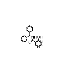 O=C(NC(c1ccccc1)c1ccccc1)c1cn[c]nc1O